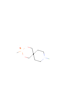 CP1(=O)OCC2(CCN(Cl)CC2)CO1